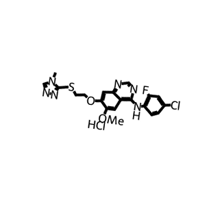 COc1cc2c(Nc3ccc(Cl)cc3F)ncnc2cc1OCCSc1nncn1C.Cl